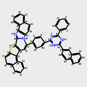 c1ccc(-c2nc(-c3ccc(-c4cc5c(sc6ccc7ccccc7c65)c5nc6c7ccccc7ccc6n45)cc3)nc(-c3ccc4ccccc4c3)n2)cc1